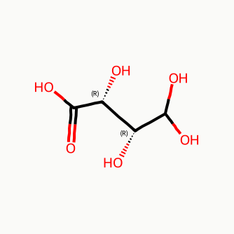 O=C(O)[C@H](O)[C@@H](O)C(O)O